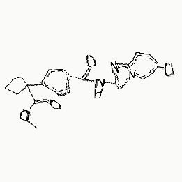 COC(=O)C1(c2ccc(C(=O)Nc3cn4cc(Cl)ccc4n3)cc2)CCCC1